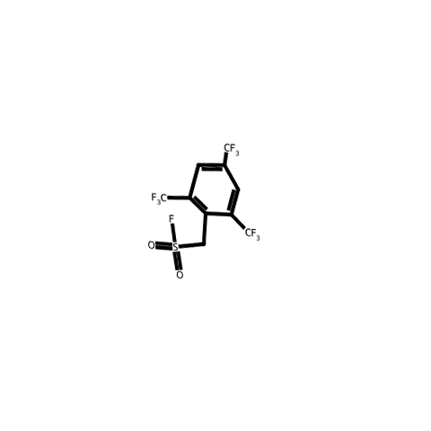 O=S(=O)(F)Cc1c(C(F)(F)F)cc(C(F)(F)F)cc1C(F)(F)F